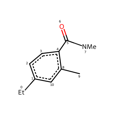 CCc1ccc(C(=O)NC)c(C)c1